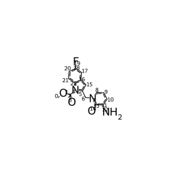 COC(=O)n1c(Cn2cccc(N)c2=O)cc2cc(F)ccc21